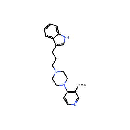 COc1cnccc1N1CCN(CCCc2c[nH]c3ccccc23)CC1